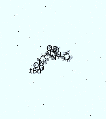 CC(C)(C)OC(=O)N1CCC(Cn2cnc(OCc3ccccc3)c(Br)c2=O)CC1